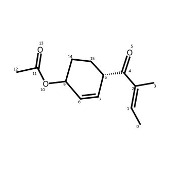 CC=C(C)C(=O)[C@@H]1C=CC(OC(C)=O)CC1